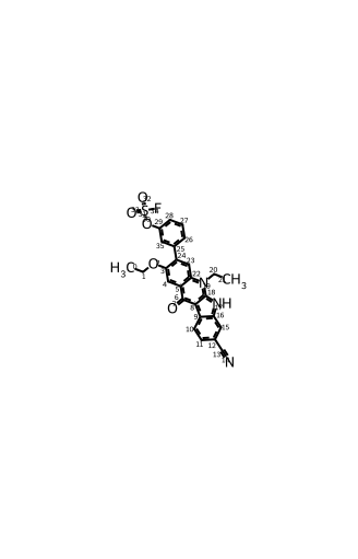 CCOc1cc2c(=O)c3c4ccc(C#N)cc4[nH]c3n(CC)c2cc1-c1cccc(OS(=O)(=O)F)c1